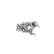 COC(=O)Oc1ccc(CCC[Si](C)(C)O[Si](C)(C)CCCc2ccc(OC(=O)Oc3ccc(C(C)(C)c4ccccc4)cc3)c(OC)c2)cc1OC